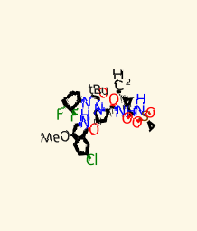 C=C[C@@H]1C[C@]1(NC(=O)[C@@H]1C[C@@H](Oc2ncc(OC)c3ccc(Cl)cc23)CN1C(=O)C(Nc1cccc(F)c1F)C(C)(C)C)C(=O)NS(=O)(=O)C1CC1